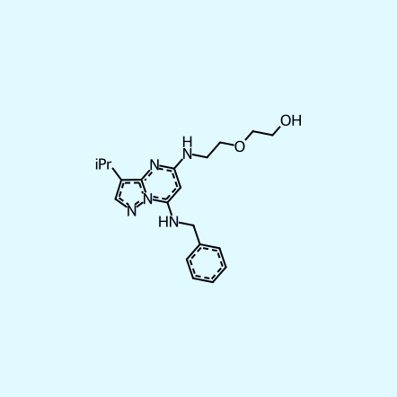 CC(C)c1cnn2c(NCc3ccccc3)cc(NCCOCCO)nc12